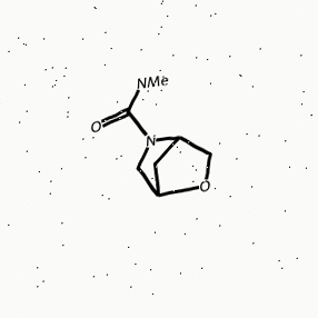 CNC(=O)N1CC2CC1CO2